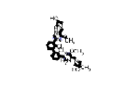 CO/C(CCN1CC(O)C1)=N/C(=C\N)c1cccc(-c2cccc(C(=C/N)/N=C(\CCN3CC(C)(O)C3)OC)c2Cl)c1Cl